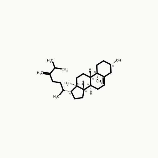 C=C(CCC(C)[C@H]1CC[C@H]2[C@@H]3CC=C4C[C@@H](O)CC[C@]4(C)[C@H]3CC[C@]12C)C(C)C